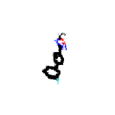 CCCc1nc(-c2ccc(-c3cccc(F)c3)cc2)no1